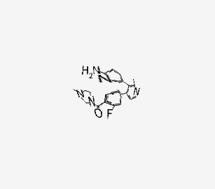 Cc1nccc(-c2ccc(C(=O)N3CCN(C)CC3)c(F)c2)c1-c1ccc(N)nc1